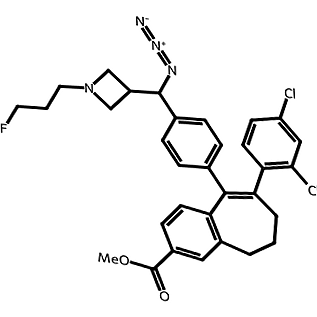 COC(=O)c1ccc2c(c1)CCCC(c1ccc(Cl)cc1Cl)=C2c1ccc(C(N=[N+]=[N-])C2CN(CCCF)C2)cc1